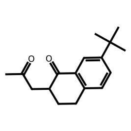 CC(=O)CC1CCc2ccc(C(C)(C)C)cc2C1=O